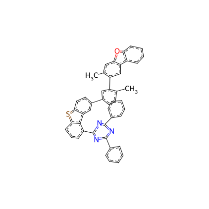 Cc1ccc(-c2ccc3sc4cccc(-c5nc(-c6ccccc6)nc(-c6ccccc6)n5)c4c3c2)cc1-c1cc2c(cc1C)oc1ccccc12